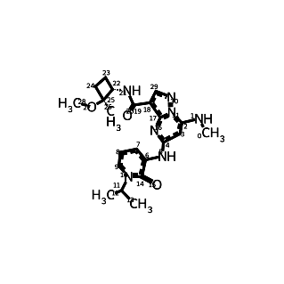 CNc1cc(Nc2cccn(C(C)C)c2=O)nc2c(C(=O)N[C@H]3CC[C@]3(C)OC)cnn12